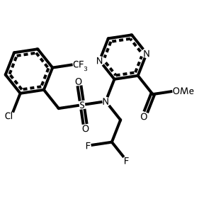 COC(=O)c1nccnc1N(CC(F)F)S(=O)(=O)Cc1c(Cl)cccc1C(F)(F)F